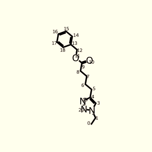 CCn1cc(CCCCC(=O)OCc2ccccc2)nn1